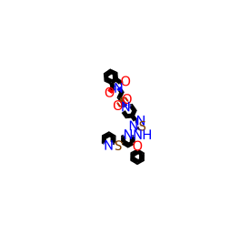 O=C1c2ccccc2C(=O)N1CCS(=O)(=O)N1CCC(c2nsc(Nc3ncc(Sc4ccccn4)cc3Oc3ccccc3)n2)CC1